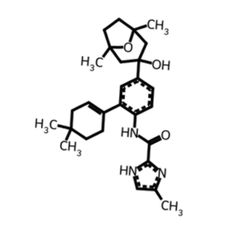 Cc1c[nH]c(C(=O)Nc2ccc(C3(O)CC4(C)CCC(C)(C3)O4)cc2C2=CCC(C)(C)CC2)n1